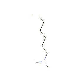 C[N]CCCCCN(C)C